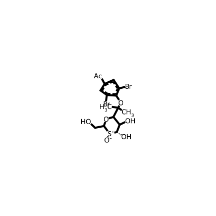 CC(=O)c1cc(Br)c(OC(C)(C)C2OC(CO)[S+]([O-])[C@@H](O)C2O)c(Br)c1